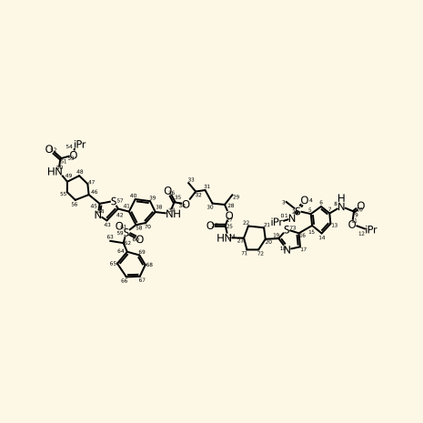 CC(C)N=S(C)(=O)c1cc(NC(=O)OC(C)C)ccc1-c1cnc(C2CCC(NC(=O)OC(C)CCC(C)OC(=O)Nc3ccc(-c4cnc(C5CCC(NC(=O)OC(C)C)CC5)s4)c(S(=O)(=O)C(C)c4ccccc4)c3)CC2)s1